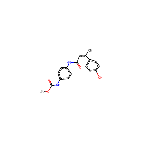 CC(C)(C)OC(=O)Nc1ccc(NC(=O)/C=C(/C#N)c2ccc(O)cc2)cc1